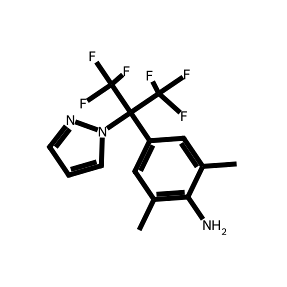 Cc1cc(C(n2cccn2)(C(F)(F)F)C(F)(F)F)cc(C)c1N